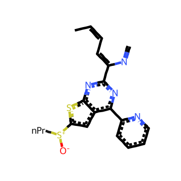 C=N/C(=C\C=C/C)c1nc(-c2ccccn2)c2cc([S+]([O-])CCC)sc2n1